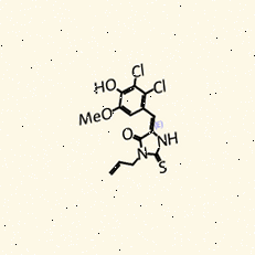 C=CCN1C(=O)/C(=C\c2cc(OC)c(O)c(Cl)c2Cl)NC1=S